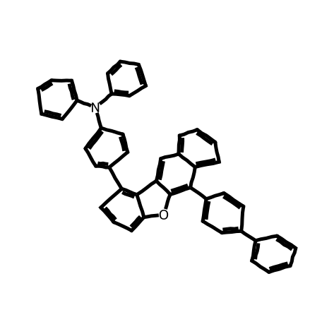 c1ccc(-c2ccc(-c3c4ccccc4cc4c3oc3cccc(-c5ccc(N(c6ccccc6)c6ccccc6)cc5)c34)cc2)cc1